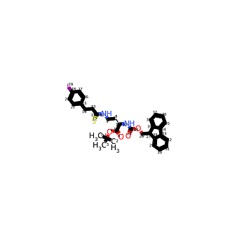 CC(C)(C)OC(=O)[C@H](CCNC(=S)CCc1ccc(I)cc1)NC(=O)OCC1c2ccccc2-c2ccccc21